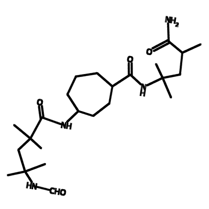 CC(CC(C)(C)NC(=O)C1CCCC(NC(=O)C(C)(C)CC(C)(C)NC=O)CC1)C(N)=O